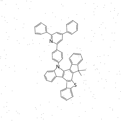 CC1(C)c2ccccc2-c2c1c1sc3ccccc3c1c1c3ccccc3n(-c3ccc(-c4cc(-c5ccccc5)cc(-c5ccccc5)n4)cc3)c21